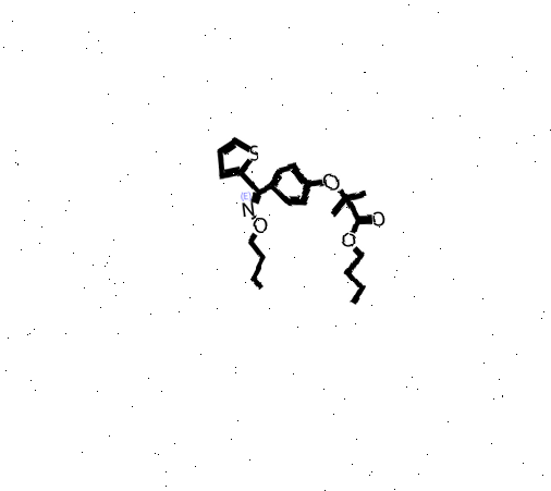 CCCCO/N=C(\c1ccc(OC(C)(C)C(=O)OCCCC)cc1)c1cccs1